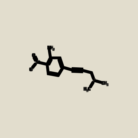 CN(C)CC#Cc1ccc([N+](=O)[O-])c(N)c1